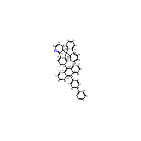 c1ccc(-c2ccc(-c3c4ccccc4c(-c4ccc5c(c4)C4(c6ccccc6-c6ccccc64)c4cccnc4-5)c4ccccc34)cc2)cc1